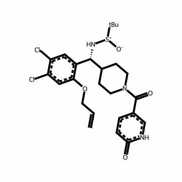 C=CCOc1cc(Cl)c(Cl)cc1[C@H](N[S+]([O-])C(C)(C)C)C1CCN(C(=O)c2ccc(=O)[nH]c2)CC1